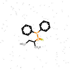 O=C(O)CC(C(=O)O)[PH](=S)P(c1ccccc1)c1ccccc1